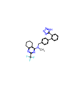 CN(Cc1ccc(-c2ccccc2-c2nnn[nH]2)cc1)c1nc(C(F)(F)F)nc2c1CCCC2